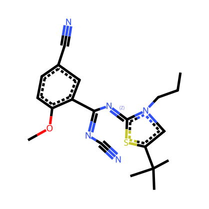 CCCn1cc(C(C)(C)C)s/c1=N\C(=NC#N)c1cc(C#N)ccc1OC